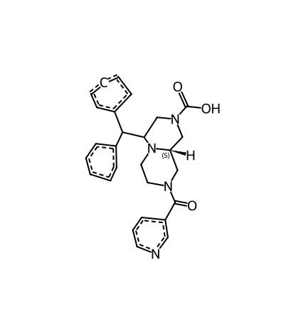 O=C(O)N1CC(C(c2ccccc2)c2ccccc2)N2CCN(C(=O)c3cccnc3)C[C@H]2C1